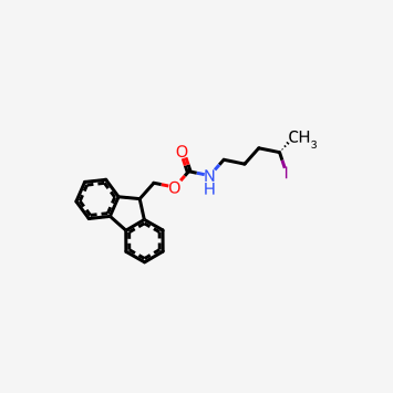 C[C@H](I)CCCNC(=O)OCC1c2ccccc2-c2ccccc21